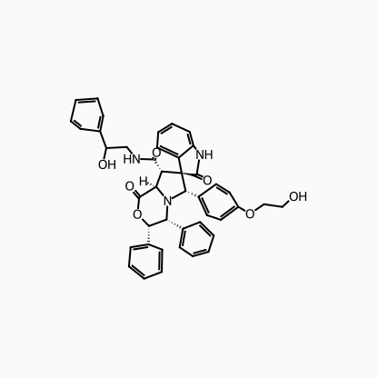 O=C1O[C@@H](c2ccccc2)[C@@H](c2ccccc2)N2[C@@H](c3ccc(OCCO)cc3)[C@]3(C(=O)Nc4ccccc43)[C@@H](C(=O)NCC(O)c3ccccc3)[C@H]12